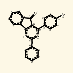 O=C1c2ccccc2-c2nc(-c3ccccc3)nc(-c3ccc(Br)cc3)c21